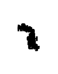 Cc1ccc(C(=O)Nc2ccc(Oc3ccc4nc(NC(=O)C5CC5)cn4c3)cn2)c(=O)n1-c1ccc(F)cc1